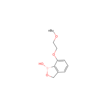 CCCCOCCOc1cccc2c1B(O)OC2